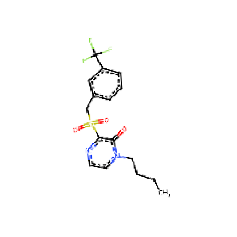 CCCCn1ccnc(S(=O)(=O)Cc2cccc(C(F)(F)F)c2)c1=O